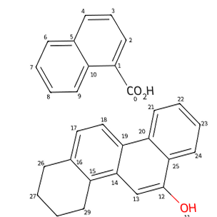 O=C(O)c1cccc2ccccc12.Oc1cc2c3c(ccc2c2ccccc12)CCCC3